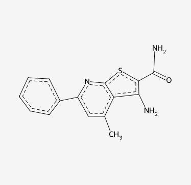 Cc1cc(-c2ccccc2)nc2sc(C(N)=O)c(N)c12